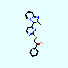 CC1N=C2C=CC=CN2C1c1ccnc(SCC(=O)c2ccccc2)n1